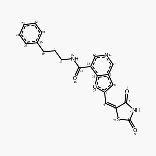 O=C1NC(=O)/C(=C\c2cc3cncc(C(=O)NCCCc4ccccc4)c3o2)S1